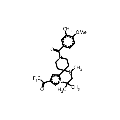 COc1ccc(C(=O)N2CCC3(CC2)c2cc(C(=O)C(F)(F)F)cn2C(C)(C)CN3C)cc1C